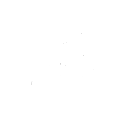 Cc1cc(Cl)c([C@]2(C)CS(=O)(=O)C(C)(C)/C(=N/C(=O)OC(C)(C)C)N2)s1